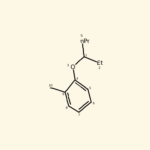 CCCC(CC)Oc1ccccc1C